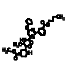 CCCCOC(=O)c1cccc(-c2nc(OC3CCCC3)cc(C(=O)NC(C)C(=O)C3CN(C(=O)OCC)CCN3)n2)c1